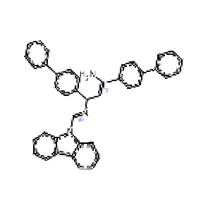 N/C(=C\C(/N=C/n1c2ccccc2c2ccccc21)c1ccc(-c2ccccc2)cc1)c1ccc(-c2ccccc2)cc1